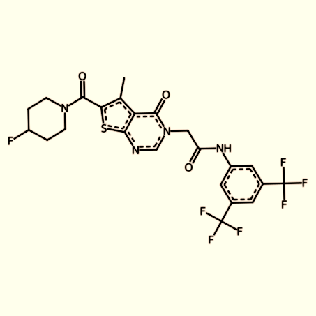 Cc1c(C(=O)N2CCC(F)CC2)sc2ncn(CC(=O)Nc3cc(C(F)(F)F)cc(C(F)(F)F)c3)c(=O)c12